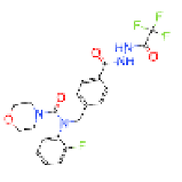 O=C(NNC(=O)C(F)(F)F)c1ccc(CN(C(=O)N2CCOCC2)c2ccccc2F)cc1